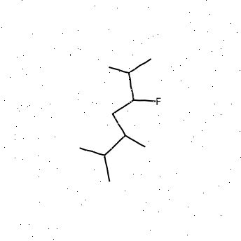 CC(C)C(C)CC(F)C(C)C